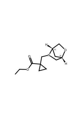 CCOC(=O)C1(CN2C[C@@H]3C[C@H]2CO3)CC1